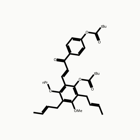 CC=CCc1c(OCCC)c(C=CC(=O)c2ccc(OC(=O)C(C)(C)C)cc2)c(OC(=O)C(C)(C)C)c(CC=CC)c1OC